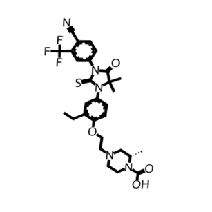 CCc1cc(N2C(=S)N(c3ccc(C#N)c(C(F)(F)F)c3)C(=O)C2(C)C)ccc1OCCN1CCN(C(=O)O)[C@@H](C)C1